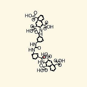 O=C(Nc1cccc(C(=O)Nc2c(S(=O)(=O)O)cc3c(S(=O)(=O)O)cccc3c2S(=O)(=O)O)c1)Nc1cccc(C(=O)Nc2c(S(=O)(=O)O)cc3c(S(=O)(=O)O)cccc3c2S(=O)(=O)O)c1